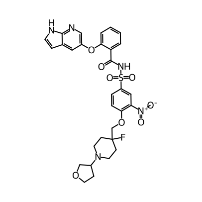 O=C(NS(=O)(=O)c1ccc(OCC2(F)CCN(C3CCOC3)CC2)c([N+](=O)[O-])c1)c1ccccc1Oc1cnc2[nH]ccc2c1